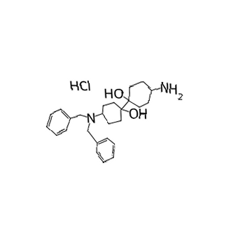 Cl.NC1CCC(O)(C2(O)CCC(N(Cc3ccccc3)Cc3ccccc3)CC2)CC1